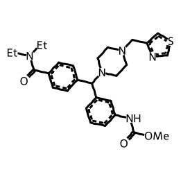 CCN(CC)C(=O)c1ccc(C(c2cccc(NC(=O)OC)c2)N2CCN(Cc3cscn3)CC2)cc1